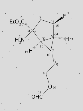 CCOC(=O)[C@]1(N)C[C@@H](F)[C@H]2[C@H](CCOC=O)[C@H]21